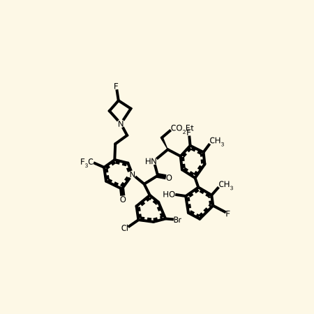 CCOC(=O)C[C@H](NC(=O)C(c1cc(Cl)cc(Br)c1)n1cc(CCN2CC(F)C2)c(C(F)(F)F)cc1=O)c1cc(-c2c(O)ccc(F)c2C)cc(C)c1F